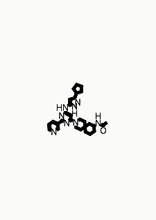 CC(=O)NC1CCCC2(CCN(c3cc(Nc4cc(C5CCCC5)n[nH]4)nc(-c4cccnc4)n3)CC2)C1